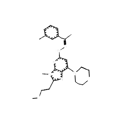 COCCc1nc2c(N3CCOCC3)cc(NN=C(C)c3cccc(C)c3)nc2n1C